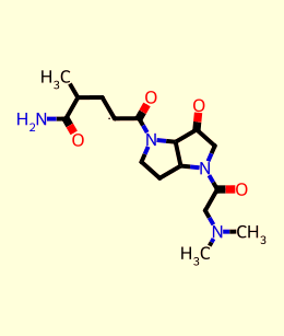 CC(C[CH]C(=O)N1CCC2C1C(=O)CN2C(=O)CN(C)C)C(N)=O